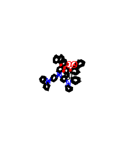 c1ccc(N2c3ccccc3[Si](c3ccc4c(c3)oc3ccccc34)(c3ccc4c(c3)oc3ccccc34)c3cc(N(c4ccc(-c5cccc6ccccc56)cc4)c4ccc(-n5c6ccccc6c6ccccc65)cc4)ccc32)cc1